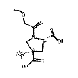 COCC(=O)N1C[C@](N)(C(=O)O)C[C@H]1C(=O)O